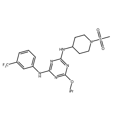 CC(C)Oc1nc(Nc2cccc(C(F)(F)F)c2)nc(NC2CCN(S(C)(=O)=O)CC2)n1